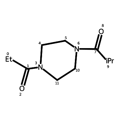 CCC(=O)N1CCN(C(=O)C(C)C)CC1